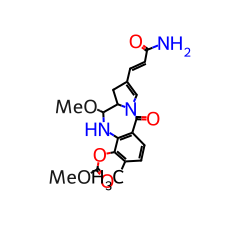 COC(=O)Oc1c(C)ccc2c1NC(OC)C1CC(C=CC(N)=O)=CN1C2=O